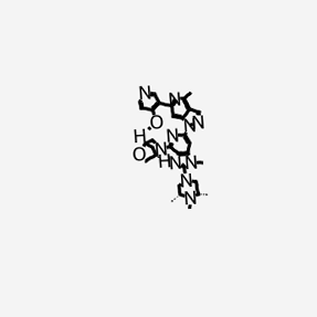 COc1ccncc1-c1cc2c(cnn2-c2cc3c(nc(N4C[C@@H](C)N(C)[C@@H](C)C4)n3C)c(N3C[C@H]4C[C@@H]3CO4)n2)c(C)n1